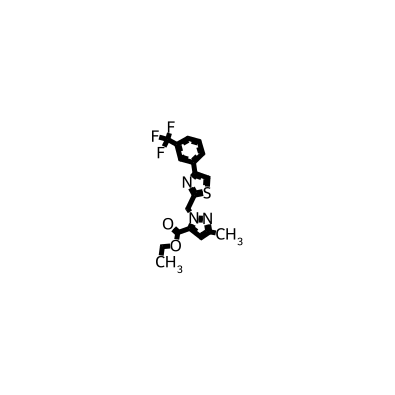 CCOC(=O)c1cc(C)nn1Cc1nc(-c2cccc(C(F)(F)F)c2)cs1